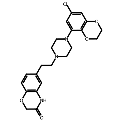 O=C1COc2ccc(CCN3CCN(c4cc(Cl)cc5c4OCCO5)CC3)cc2N1